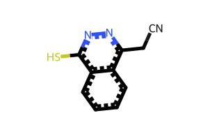 N#CCc1nnc(S)c2ccccc12